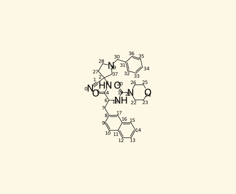 N#CC1(NC(=O)C(Cc2ccc3ccccc3c2)NC(=O)N2CCOCC2)CCN(Cc2ccccc2)C1